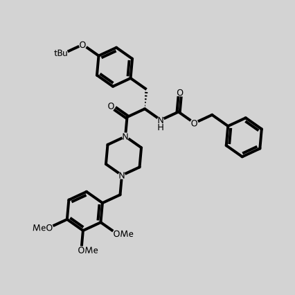 COc1ccc(CN2CCN(C(=O)[C@H](Cc3ccc(OC(C)(C)C)cc3)NC(=O)OCc3ccccc3)CC2)c(OC)c1OC